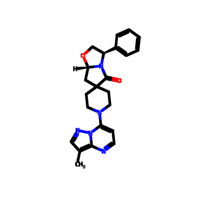 Cc1cnn2c(N3CCC4(CC3)C[C@@H]3OC[C@@H](c5ccccc5)N3C4=O)ccnc12